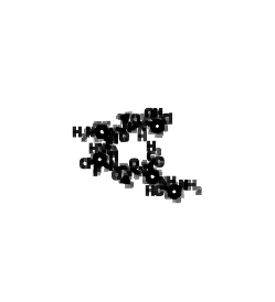 CC(=O)c1cn(CC(=O)N(CC(=O)NCc2cc(NC(=O)c3nn(CC(=O)N(CC(=O)N[C@H](CO)c4cccc(Cl)c4F)C4CC4)c4ccc(N)cc34)cc(Cl)c2F)C2CC2)c2ccc(NC(O)c3cccc(N)c3)cc12